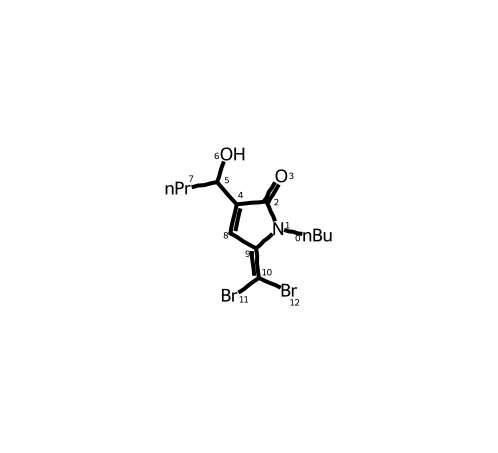 CCCCN1C(=O)C(C(O)CCC)=CC1=C(Br)Br